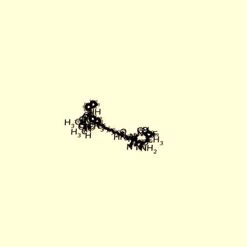 CN[C@H](C)C(=O)N[C@@H](C(=O)N1Cc2cc(OCCCCCCCCC(=O)NCCn3nc4c(c3C#N)-c3cnc(N)c(c3)O[C@H](C)c3cc(F)ccc3C(=O)N(C)C4)ccc2C[C@@H]1C(=O)N[C@H]1CCCc2ccccc21)C(C)(C)C